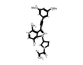 C=C(F)C(=O)N1CCC(n2nc(C#Cc3cc(OC)cc(OC)c3)c3c(N)ncc(Cl)c32)C1